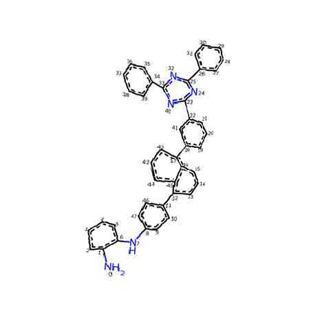 Nc1ccccc1Nc1ccc(-c2cccc3c(-c4cccc(-c5nc(-c6ccccc6)nc(-c6ccccc6)n5)c4)cccc23)cc1